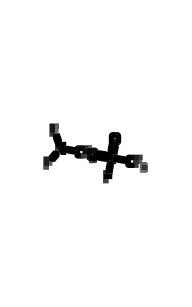 FN(F)C(F)(F)F.O=S(=O)(F)C(F)(F)F